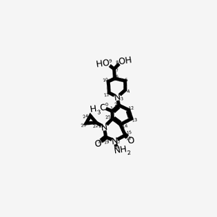 Cc1c(N2CCC(C(O)O)CC2)ccc2c(=O)n(N)c(=O)n(C3CC3)c12